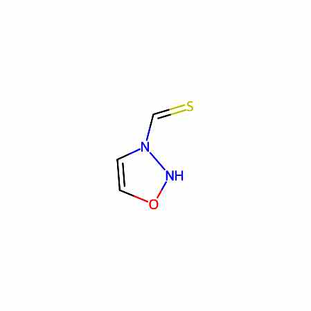 S=CN1C=CON1